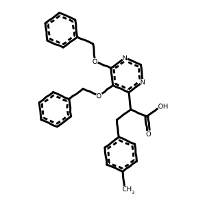 Cc1ccc(CC(C(=O)O)c2ncnc(OCc3ccccc3)c2OCc2ccccc2)cc1